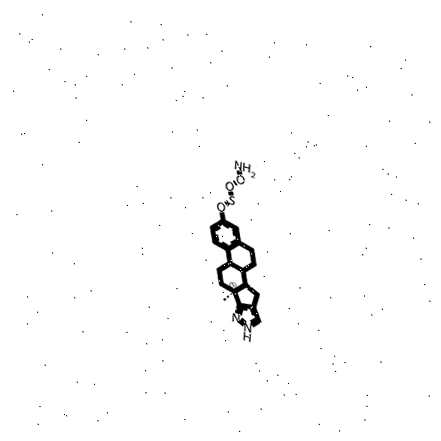 C[C@]12CCC3c4ccc(OSOON)cc4CCC3C1Cc1c[nH]nc12